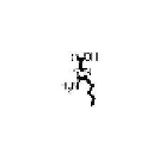 CCCCc1nc(C(=O)O)sc1N